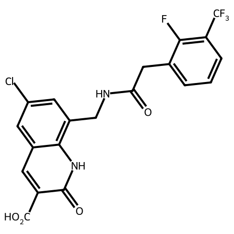 O=C(Cc1cccc(C(F)(F)F)c1F)NCc1cc(Cl)cc2cc(C(=O)O)c(=O)[nH]c12